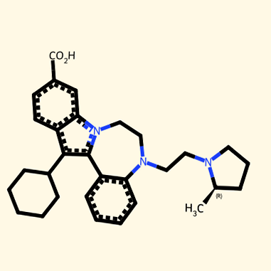 C[C@@H]1CCCN1CCN1CCn2c(c(C3CCCCC3)c3ccc(C(=O)O)cc32)-c2ccccc21